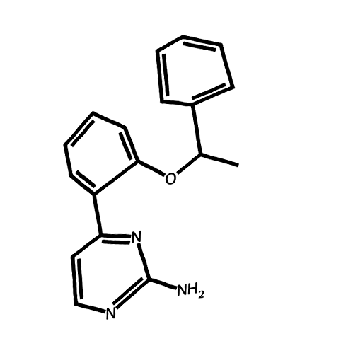 CC(Oc1ccccc1-c1ccnc(N)n1)c1ccccc1